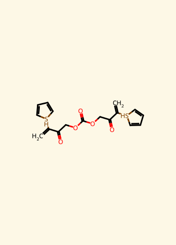 C=C(C(=O)COC(=O)OCC(=O)C(=C)[SH]1C=CC=C1)[SH]1C=CC=C1